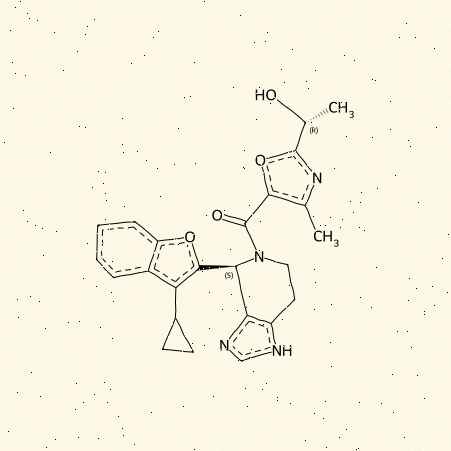 Cc1nc([C@@H](C)O)oc1C(=O)N1CCc2[nH]cnc2[C@H]1c1oc2ccccc2c1C1CC1